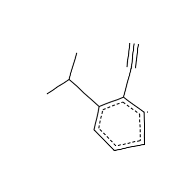 C#Cc1[c]cccc1C(C)C